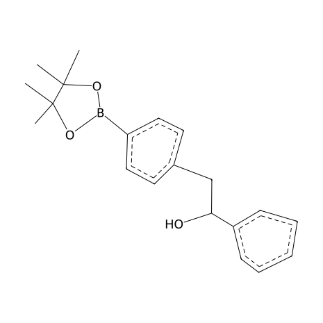 CC1(C)OB(c2ccc(CC(O)c3ccccc3)cc2)OC1(C)C